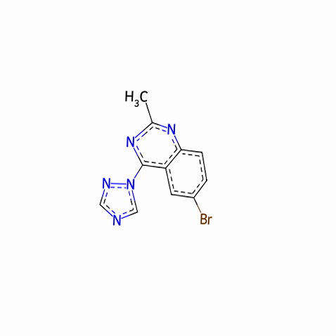 Cc1nc(-n2cncn2)c2cc(Br)ccc2n1